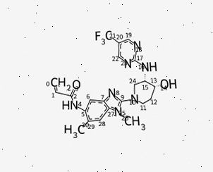 C=CC(=O)Nc1cc2nc(N3CC[C@@H](O)[C@@H](Nc4ncc(C(F)(F)F)cn4)C3)n(C)c2cc1C